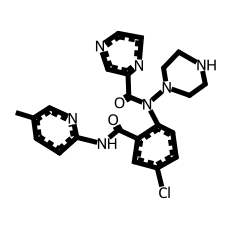 Cc1ccc(NC(=O)c2cc(Cl)ccc2N(C(=O)c2cnccn2)N2CCNCC2)nc1